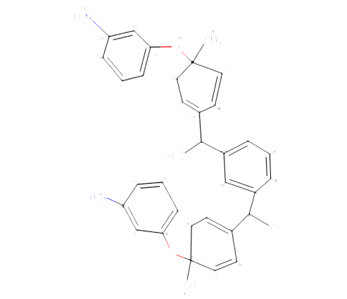 CC(C1=CCC(C)(Oc2cccc(N)c2)C=C1)c1cccc(C(C)C2=CCC(C)(Oc3cccc(N)c3)C=C2)c1